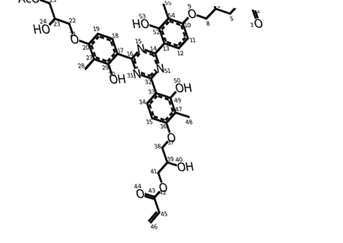 C=CC(=O)OCC(O)COc1ccc(-c2nc(-c3ccc(OCC(O)COC(C)=O)c(C)c3O)nc(-c3ccc(OCC(O)COC(=O)C=C)c(C)c3O)n2)c(O)c1C